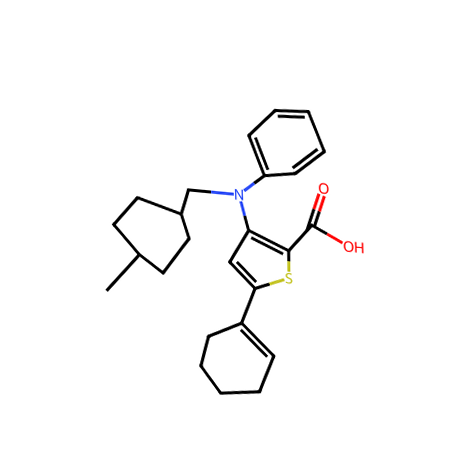 CC1CCC(CN(c2ccccc2)c2cc(C3=CCCCC3)sc2C(=O)O)CC1